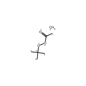 C.CC(=O)OOC(C)(C)C